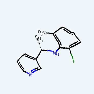 C[C@H](Nc1c(F)cccc1[N+](=O)[O-])c1cccnc1